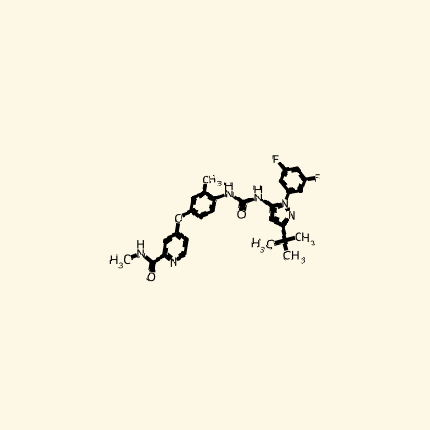 CNC(=O)c1cc(Oc2ccc(NC(=O)Nc3cc(C(C)(C)C)nn3-c3cc(F)cc(F)c3)c(C)c2)ccn1